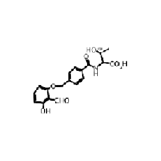 C[C@H](O)C(NC(=O)c1ccc(COc2cccc(O)c2C=O)cc1)C(=O)O